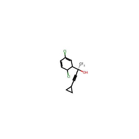 O[C@@](C#CC1CC1)(C1C=C(Cl)C=CC1Cl)C(F)(F)F